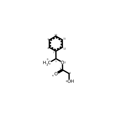 CC(OC(=O)CO)c1ccccc1